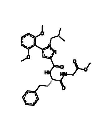 COC(=O)CNC(=O)[C@H](CCc1ccccc1)NC(=O)c1cc(-c2c(OC)cccc2OC)n(CC(C)C)n1